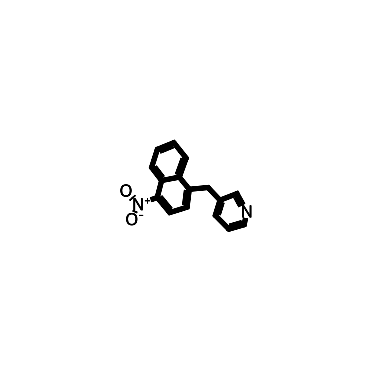 O=[N+]([O-])c1ccc(Cc2cccnc2)c2ccccc12